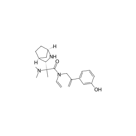 C=CN(CC(=C)c1cccc(O)c1)C(=O)C(C)([C@H]1N[C@@H]2CC[C@H]1C2)N(C)C